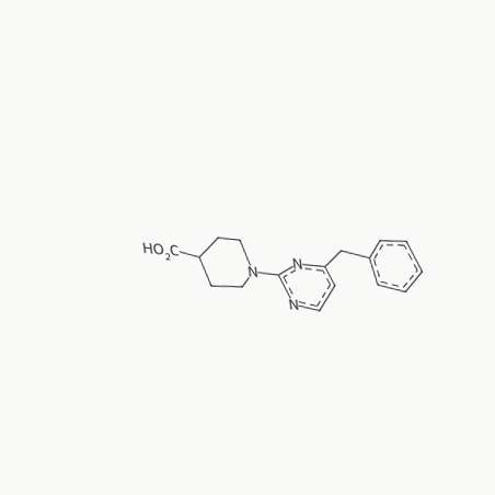 O=C(O)C1CCN(c2nccc(Cc3ccccc3)n2)CC1